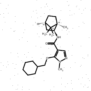 Cn1ncc(C(=O)N[C@H]2C[C@H]3CC[C@]2(C)C3(C)C)c1OCC1CCCCC1